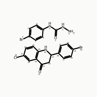 NNC(=O)Nc1ccc(Br)cc1.O=C1CC(c2ccc(Br)cc2)Nc2ccc(Cl)cc21